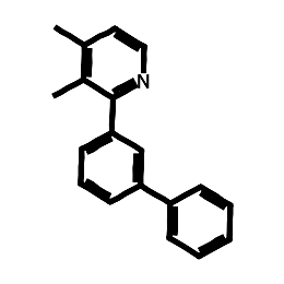 Cc1ccnc(-c2cccc(-c3ccccc3)c2)c1C